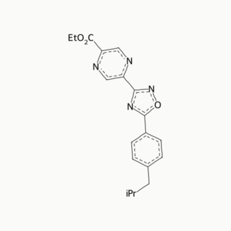 CCOC(=O)c1cnc(-c2noc(-c3ccc(CC(C)C)cc3)n2)cn1